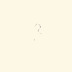 CCCCCC(Br)c1cccc2ccccc12